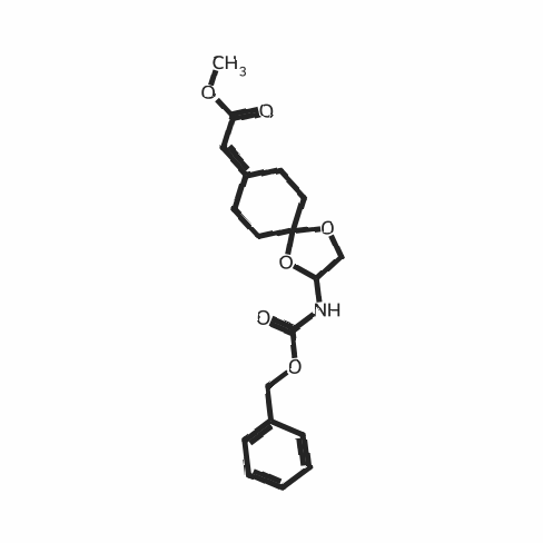 COC(=O)C=C1CCC2(CC1)OCC(NC(=O)OCc1ccccc1)O2